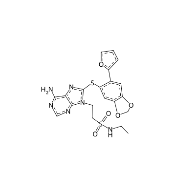 CCNS(=O)(=O)CCn1c(Sc2cc3c(cc2-c2ccco2)OCO3)nc2c(N)ncnc21